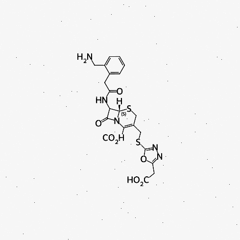 NCc1ccccc1CC(=O)NC1C(=O)N2C(C(=O)O)=C(CSc3nnc(CC(=O)O)o3)CS[C@@H]12